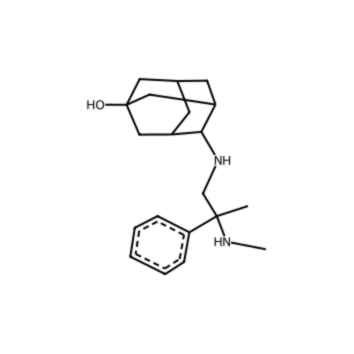 CNC(C)(CNC1C2CC3CC1CC(O)(C3)C2)c1ccccc1